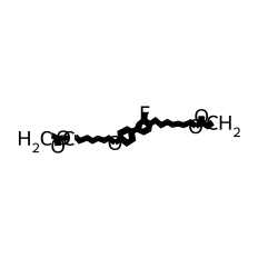 C=CC(=O)OCCCCCCCCOc1ccc(-c2ccc(CCCCCCCOC(=O)C=C)c(F)c2)cc1